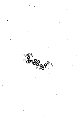 CN(C)c1ccc(N2c3ccc(-c4ccc5c(c4)C4(c6ccccc6-c6ccccc64)c4cc(-c6ccc7c(c6)C6(C)CCCCC6(C)N7c6ccc(N(C)C)cc6)ccc4-5)cc3C3(C)CCCCC23C)cc1